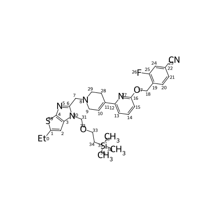 CCc1cc2c(nc(CN3CC=C(c4cccc(OCc5ccc(C#N)cc5F)n4)CC3)n2COCC[Si](C)(C)C)s1